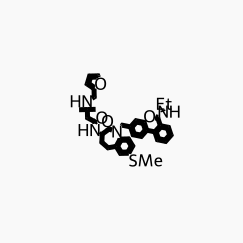 CCNC(=O)c1ccccc1-c1ccc(CN2C(=O)[C@H](NC(=O)CC(C)(C)NCc3ccco3)CCc3cc(SC)ccc32)cc1